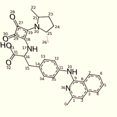 Cc1cc2ccccc2c(Nc2ccc(CC(Nc3c(N4C(C)CC[C@@H]4C)c(=O)c3=O)C(=O)O)cc2)n1